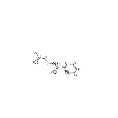 CC(=O)CCNC(=O)c1ccccn1